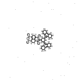 O=C1OC(=O)c2ccc3c4c(ccc1c24)C(=O)N(c1cc(-n2c4ccccc4c4ccccc42)cc(-n2c4ccccc4c4ccccc42)c1)C3=O